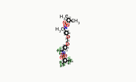 C/C(=N\OS(=O)(=O)c1cc(C)cc(C)c1)c1ccc(OCCCOc2ccc(/C(=N/OS(=O)(=O)c3cc(C(F)(F)F)cc(C(F)(F)F)c3)C(F)(F)F)cc2)cc1